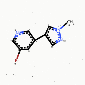 Cn1cc(-c2cncc(Br)c2)cn1